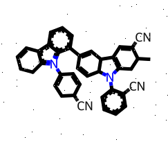 CC1CC2=C(C=C1C#N)C1C=C(c3cccc4c5c(n(C6=CCC(C#N)C=C6)c34)CCC=C5)C=CC1N2c1ccccc1C#N